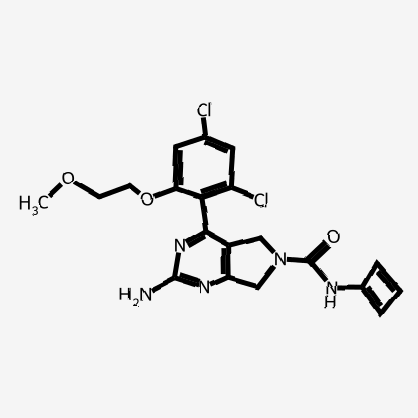 COCCOc1cc(Cl)cc(Cl)c1-c1nc(N)nc2c1CN(C(=O)NC1=CC=C1)C2